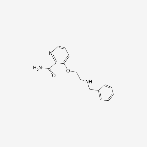 NC(=O)c1ncccc1OCCNCc1ccccc1